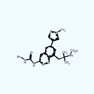 CC(C)NC(=O)Nc1cc2cc(-c3cnn(C)c3)cc(CC(C)(C)NC(=O)O)c2nn1